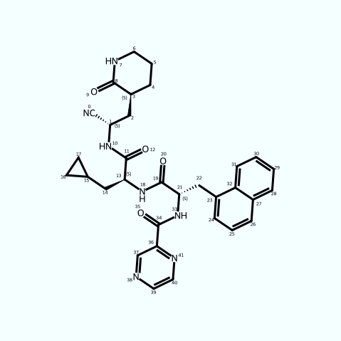 N#C[C@H](C[C@@H]1CCCNC1=O)NC(=O)[C@H](CC1CC1)NC(=O)[C@H](Cc1cccc2ccccc12)NC(=O)c1cnccn1